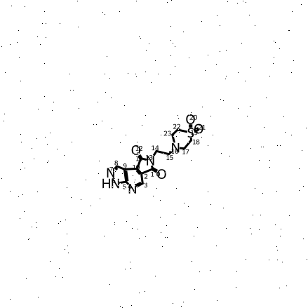 O=C1c2cnc3[nH]ncc3c2C(=O)N1CCN1CCS(=O)(=O)CC1